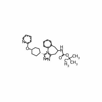 CC(C)(C)OC(=O)NC1Cc2ccccc2-n2c(nnc2[C@H]2CC[C@H](Oc3ccccn3)CC2)C1